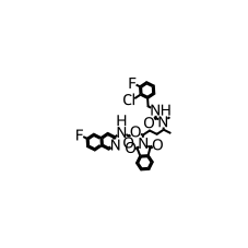 CC(CCC(OC(=O)Nc1cc2cc(F)ccc2cn1)N1C(=O)c2ccccc2C1=O)N(C)C(=O)NCc1cccc(F)c1Cl